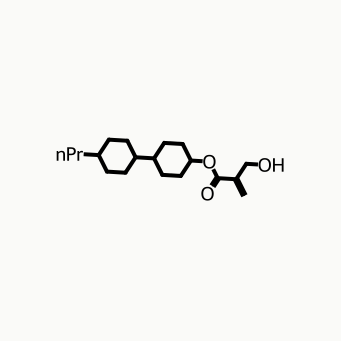 C=C(CO)C(=O)OC1CCC(C2CCC(CCC)CC2)CC1